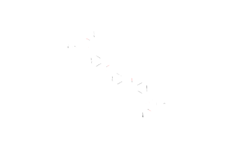 CC=CC(=O)OC(CCCCC)Oc1ccc(C(=O)Oc2ccc(OC(=O)c3ccc(OC(CCCCC)OC(=O)C=CC)cc3)cc2)cc1